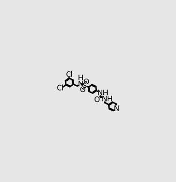 O=C(NCc1ccncc1)Nc1ccc(S(=O)(=O)NCc2cc(Cl)cc(Cl)c2)cc1